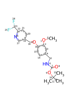 COc1cc(CNC(=O)OC(C)(C)C)ccc1OCc1ccc(C(F)F)nc1